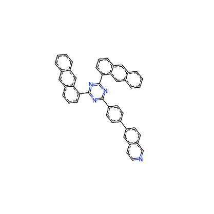 c1ccc2cc3c(-c4nc(-c5ccc(-c6ccc7cnccc7c6)cc5)nc(-c5cccc6cc7ccccc7cc56)n4)cccc3cc2c1